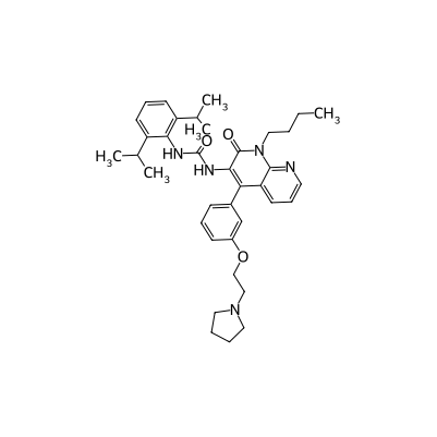 CCCCn1c(=O)c(NC(=O)Nc2c(C(C)C)cccc2C(C)C)c(-c2cccc(OCCN3CCCC3)c2)c2cccnc21